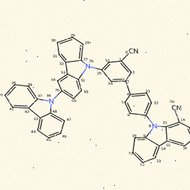 N#Cc1cc(-c2ccc(-n3c4ccccc4c4cccc(C#N)c43)cc2)cc(-n2c3ccccc3c3cc(-n4c5ccccc5c5ccccc54)ccc32)c1